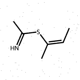 C/C=C(/C)SC(C)=N